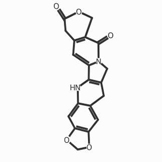 O=C1Cc2cc3n(c(=O)c2CO1)CC1=C3Nc2cc3c(cc2C1)OCO3